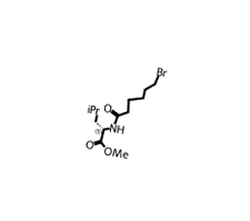 COC(=O)[C@H](CC(C)C)NC(=O)CCCCCBr